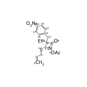 C=CCSC1N(OC(C)=O)C(=O)C1(CC)Cc1ccc([N+](=O)[O-])cc1